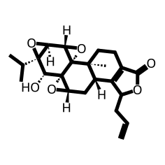 C=CCC1OC(=O)C2=C1[C@@H]1C[C@@H]3O[C@@]34[C@H](O)[C@@]3(C(C)C)O[C@H]3[C@@H]3O[C@@]34[C@@]1(C)CC2